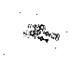 COc1ccnc(NC23CC(N4CCS(=O)(=O)CC4)(C2)C3)c1C(=O)Nc1cc2c(cc1C(=O)NC13CC(C4CC4)(C1)C3)OC(F)(F)O2